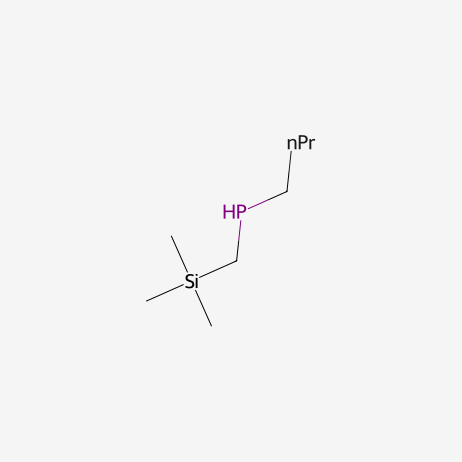 CCCCPC[Si](C)(C)C